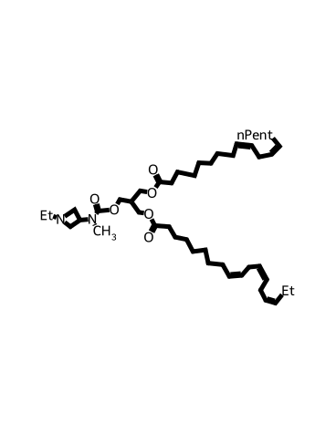 CC/C=C\C/C=C\C/C=C\CCCCCCCC(=O)OCC(COC(=O)CCCCCCC/C=C\C/C=C\CCCCC)COC(=O)N(C)C1CN(CC)C1